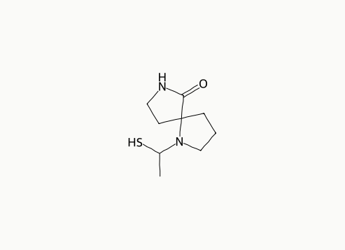 CC(S)N1CCCC12CCNC2=O